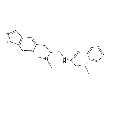 CC(CC(=O)NCC(Cc1ccc2[nH]ncc2c1)N(C)C)c1ccccc1